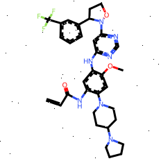 C=CC(=O)Nc1cc(Nc2cc(N3OCCC3c3cccc(C(F)(F)F)c3)ncn2)c(OC)cc1N1CCC(N2CCCC2)CC1